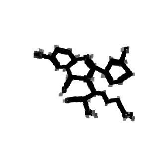 CCCCC(C(N)=O)n1c(-c2cccc(Cl)c2)nc2ccc(O)cc2c1=O